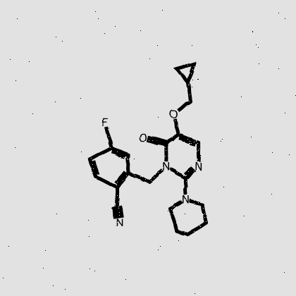 N#Cc1ccc(F)cc1Cn1c(N2CCCCC2)ncc(OCC2CC2)c1=O